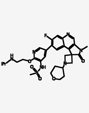 CC(C)NCCOc1ncc(-c2cc3c4c(cnc3cc2F)N(C)C(=O)C42CN(C3CCOCC3)C2)cc1NS(C)(=O)=O